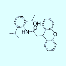 CC(C)c1cccc(C(C)O)c1NC(=O)CC1c2ccccc2Oc2ccccc21